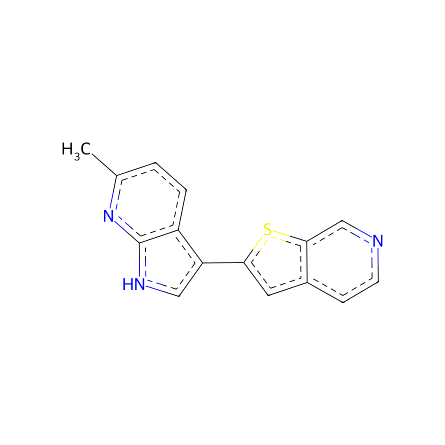 Cc1ccc2c(-c3cc4ccncc4s3)c[nH]c2n1